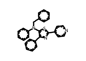 c1ccc(CN(c2ccccc2)c2sc(-c3ccncc3)nc2-c2ccccc2)cc1